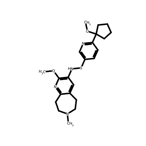 COc1nc2c(cc1NSc1ccc(C3(OC)CCCC3)nc1)CCN(C)CC2